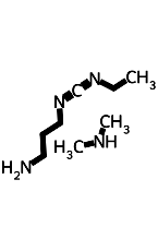 CCN=C=NCCCN.CNC